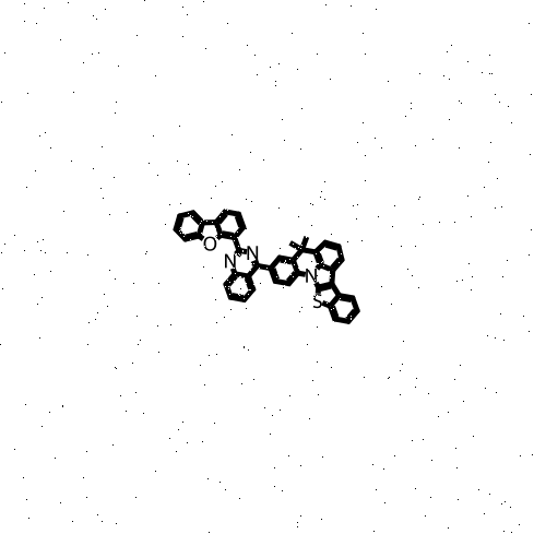 CC1(C)c2cc(-c3nc(-c4cccc5c4oc4ccccc45)nc4ccccc34)ccc2-n2c3sc4ccccc4c3c3cccc1c32